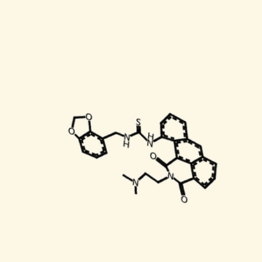 CN(C)CCN1C(=O)c2cccc3cc4cccc(NC(=S)NCc5cccc6c5OCO6)c4c(c23)C1=O